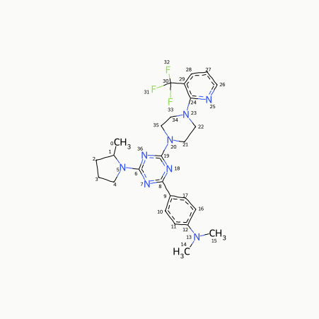 CC1CCCN1c1nc(-c2ccc(N(C)C)cc2)nc(N2CCN(c3ncccc3C(F)(F)F)CC2)n1